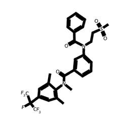 Cc1cc(C(F)(C(F)(F)F)C(F)(F)F)cc(C)c1N(C)C(=O)c1cccc(N(CCS(C)(=O)=O)C(=O)c2ccccc2)c1